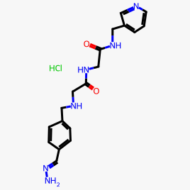 Cl.NN=Cc1ccc(CNCC(=O)NCC(=O)NCc2cccnc2)cc1